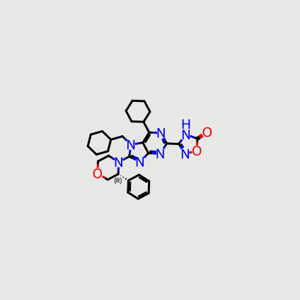 O=c1[nH]c(-c2nc(C3CCCCC3)c3c(n2)nc(N2CCOC[C@H]2c2ccccc2)n3CC2CCCCC2)no1